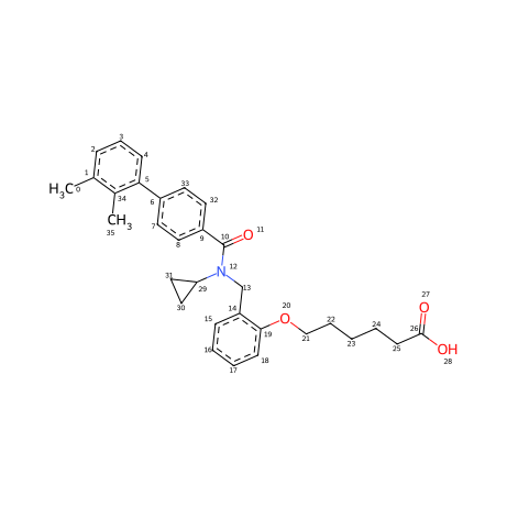 Cc1cccc(-c2ccc(C(=O)N(Cc3ccccc3OCCCCCC(=O)O)C3CC3)cc2)c1C